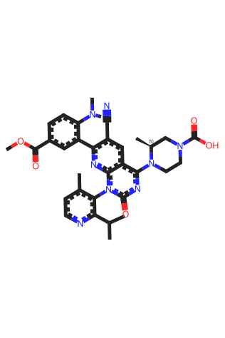 COC(=O)c1ccc(N(C)C)c(-c2nc3c(cc2C#N)c(N2CCN(C(=O)O)C[C@@H]2C)nc(=O)n3-c2c(C)ccnc2C(C)C)c1